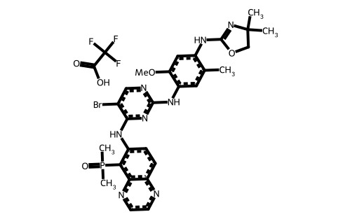 COc1cc(NC2=NC(C)(C)CO2)c(C)cc1Nc1ncc(Br)c(Nc2ccc3nccnc3c2P(C)(C)=O)n1.O=C(O)C(F)(F)F